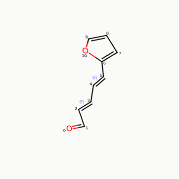 O=C/C=C/C=C/c1ccco1